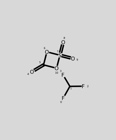 FC(F)F.O=C1OS(=O)(=O)O1